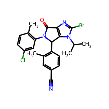 Cc1cc(C#N)ccc1C1c2c(nc(Br)n2C(C)C)C(=O)N1c1cc(Cl)ccc1C